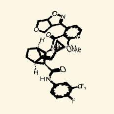 COc1nccc(C2=NOC3COCC23)c1C(=O)N[C@H]1[C@@H](C(=O)Nc2ccc(F)c(C(F)(F)F)c2)[C@H]2CC[C@@H]1/C2=C\C1CC1